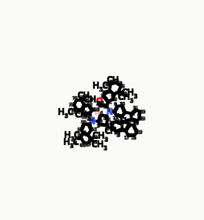 Cc1cc2c3c(c1)N(c1ccc4c(c1)[Si](c1ccccc1)(c1ccccc1)c1ccccc1-4)c1c(oc4cc5c(cc14)C(C)(C)CCC5(C)C)B3c1cc3c(cc1N2c1ccc2c(c1)C(C)(C)CCC2(C)C)C(C)(C)CCC3(C)C